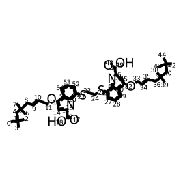 CC(C)(C)CC(C)(C)CC=CCOc1cc(C(=O)O)nc2c(SCCSc3cccc4c(OCC=CCC(C)(C)CC(C)(C)C)cc(C(=O)O)nc34)cccc12